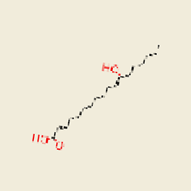 CCCCCCC(O)=CCCCCCCCC=CC(=O)O